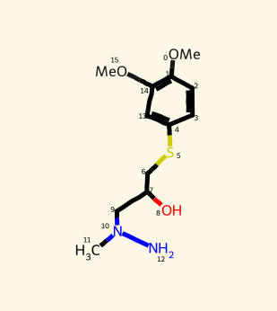 COc1ccc(SCC(O)CN(C)N)cc1OC